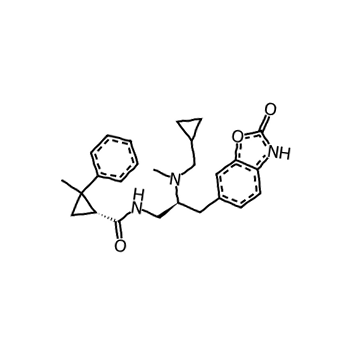 CN(CC1CC1)[C@H](CNC(=O)[C@@H]1CC1(C)c1ccccc1)Cc1ccc2[nH]c(=O)oc2c1